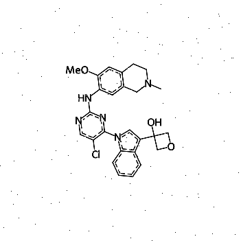 COc1cc2c(cc1Nc1ncc(Cl)c(-n3cc(C4(O)COC4)c4ccccc43)n1)CN(C)CC2